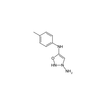 Cc1ccc(NC2=CN(N)NO2)cc1